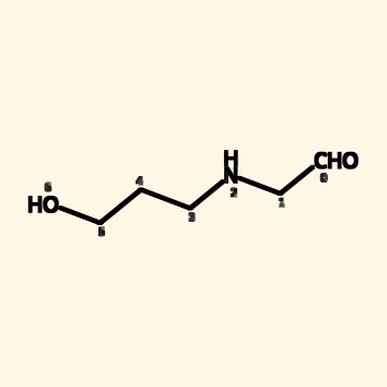 O=CCNCCCO